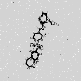 Cn1ccnc1SC[C@@H]1CCN(S(=O)(=O)c2ccc3c(c2)CCCO3)C[C@H]1F